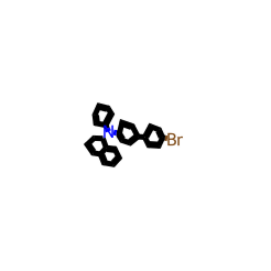 Brc1ccc(-c2ccc(N(c3ccccc3)C3CC=Cc4ccccc43)cc2)cc1